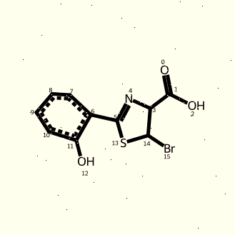 O=C(O)C1N=C(c2ccccc2O)SC1Br